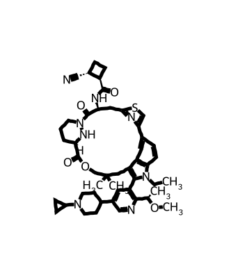 CCn1c(-c2cc(C3CCN(C4CC4)CC3)cnc2[C@H](C)OC)c2c3cc(ccc31)-c1csc(n1)C[C@H](NC(=O)[C@@H]1CC[C@H]1C#N)C(=O)N1CCC[C@H](N1)C(=O)OCC(C)(C)C2